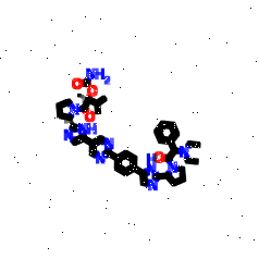 CCN(CC)C(C(=O)N1CCCC1c1ncc(-c2ccc(-c3ncc(-c4cnc([C@@H]5CCCN5C(=O)[C@@](C)(OC(N)=O)C(C)C)[nH]4)cn3)cc2)[nH]1)c1ccccc1